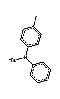 Cc1ccc(N(c2ccccc2)C(C)(C)C)cc1